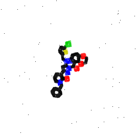 O=C(c1cccc2c1OCCO2)n1nc(-c2cccn(Cc3ccccc3)c2=O)cc1NCc1ccc(Cl)s1